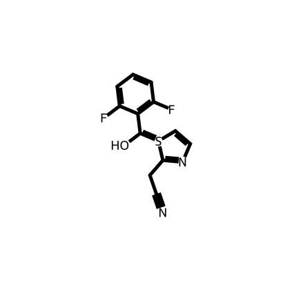 N#CCC1=NC=CS1=C(O)c1c(F)cccc1F